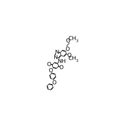 COCCOc1cc2ncnc(NC3=CC(=O)C(Oc4ccc(Oc5ccccc5)cc4)=CC3=O)c2cc1OC